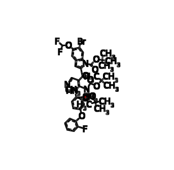 C/N=C\C(C(=O)c1cc2cc(OC(F)F)c(Br)cc2n1C(=O)OC(C)(C)C)=C(/Nc1ccc(Oc2ccccc2F)cc1C)N(C(=O)OC(C)(C)C)C(=O)OC(C)(C)C